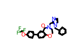 O=C1c2cc(-c3ccc(OC(F)(F)F)cc3)ccc2OCCN1Cc1nccn1Cc1ccccc1